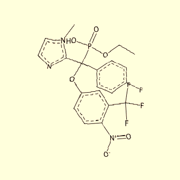 CCOP(=O)(O)C(Oc1ccc([N+](=O)[O-])c(C(F)(F)F)c1)(c1ccc(F)cc1)c1nccn1C